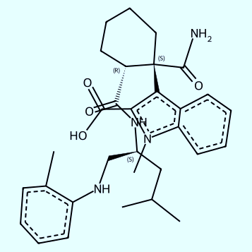 Cc1ccccc1NC[C@H](CC(C)C)NC(=O)[C@@H]1CCCC[C@@]1(C(N)=O)c1c(C(=O)O)n(C)c2ccccc12